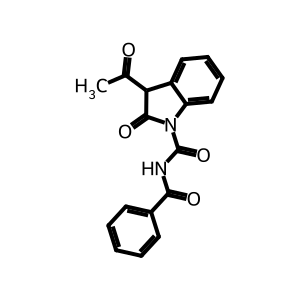 CC(=O)C1C(=O)N(C(=O)NC(=O)c2ccccc2)c2ccccc21